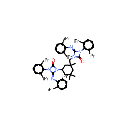 CC(C)c1cccc(C(C)C)c1/N=C1\N(CC2(C)CC(N3C(=O)N(c4c(C(C)C)cccc4C(C)C)/C3=N/c3c(C(C)C)cccc3C(C)C)CC(C)(C)C2)C(=O)N1c1c(C(C)C)cccc1C(C)C